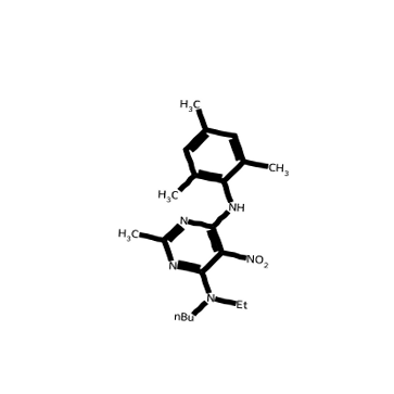 CCCCN(CC)c1nc(C)nc(Nc2c(C)cc(C)cc2C)c1[N+](=O)[O-]